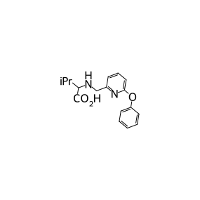 CC(C)C(NCc1cccc(Oc2ccccc2)n1)C(=O)O